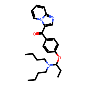 CCCCN(CCCC)C(CC)Oc1ccc(C(=O)c2cnc3ccccn23)cc1